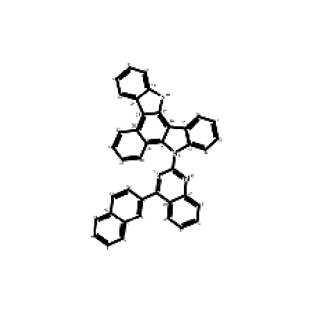 c1ccc2cc(-c3nc(-n4c5ccccc5c5c6sc7ccccc7c6c6ccccc6c54)nc4ccccc34)ccc2c1